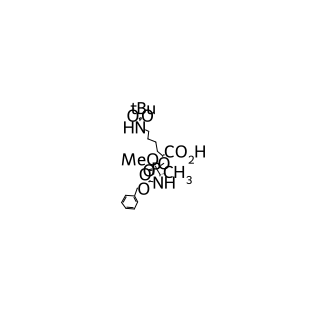 COP(=O)(O[C@@H](CCCCNC(=O)OC(C)(C)C)C(=O)O)[C@H](C)NC(=O)OCc1ccccc1